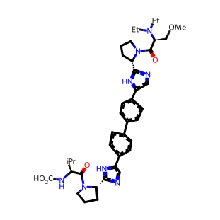 CCN(CC)[C@@H](COC)C(=O)N1CCC[C@H]1c1ncc(-c2ccc(-c3ccc(-c4cnc([C@@H]5CCCN5C(=O)[C@@H](NC(=O)O)C(C)C)[nH]4)cc3)cc2)[nH]1